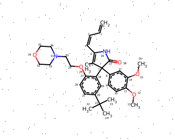 C=C/C=C\C1=C(C)C(c2ccc(OC)c(OC)c2)(c2cc(C(C)(C)C)ccc2OCCN2CCOCC2)C(=O)N1